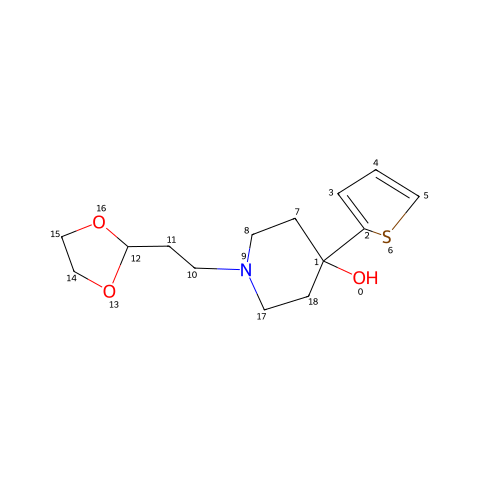 OC1(c2cccs2)CCN(CCC2OCCO2)CC1